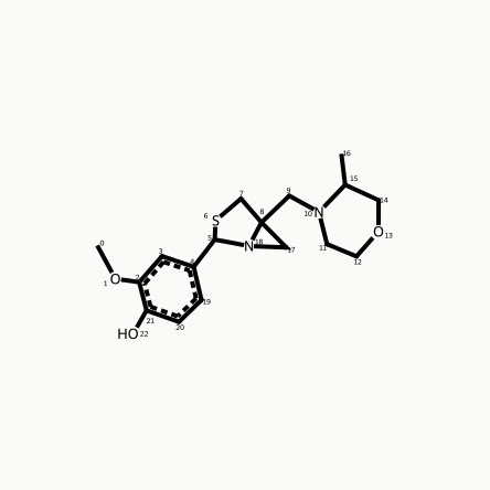 COc1cc(C2SCC3(CN4CCOCC4C)CN23)ccc1O